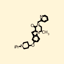 CC(C)N1CCC(Oc2ccc3c(c2)cc2n3C(C)CN(Cc3ccccn3)C2=O)CC1